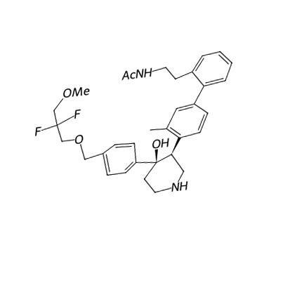 COCC(F)(F)COCc1ccc([C@@]2(O)CCNC[C@@H]2c2ccc(-c3ccccc3CCNC(C)=O)cc2C)cc1